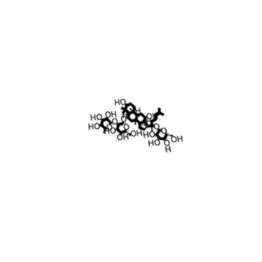 CC(C)=CCC[C@](C)(O[C@H]1O[C@H](CO)[C@@H](O)[C@H](O)[C@H]1O)[C@H]1CC[C@]2(C)[C@@H]1[C@H](O)C[C@@H]1[C@@]3(C)CC[C@H](O)C(C)(C)[C@@H]3[C@@H](O[C@@H]3O[C@H](CO)[C@@H](O)[C@H](O)[C@H]3O[C@@H]3O[C@@H](C)[C@H](O)[C@@H](O)[C@H]3O)C[C@]12C